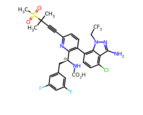 CC(C)(C#Cc1ccc(-c2ccc(Cl)c3c(N)nn(CC(F)(F)F)c23)c([C@H](Cc2cc(F)cc(F)c2)NC(=O)O)n1)S(C)(=O)=O